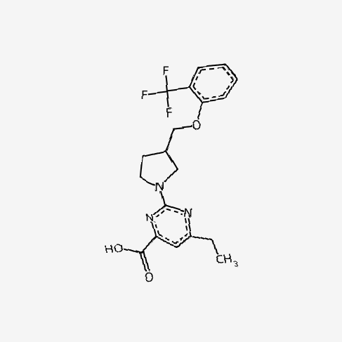 CCc1cc(C(=O)O)nc(N2CCC(COc3ccccc3C(F)(F)F)C2)n1